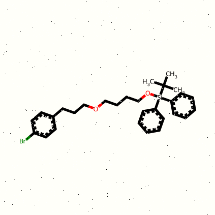 CC(C)(C)[Si](OCCCCOCCCc1ccc(Br)cc1)(c1ccccc1)c1ccccc1